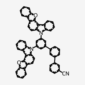 N#Cc1cccc(-c2cccc(-c3cc(-n4c5ccccc5c5c6oc7ccccc7c6ccc54)cc(-n4c5ccccc5c5c6oc7ccccc7c6ccc54)c3)c2)c1